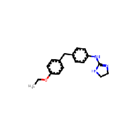 CCOc1ccc(Cc2ccc(NC3=NCCN3)cc2)cc1